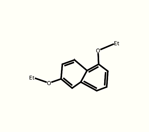 CCOc1c[c]c2c(OCC)cccc2c1